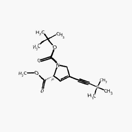 COC(=O)[C@H]1C=C(C#C[Si](C)(C)C)CN1C(=O)OC(C)(C)C